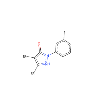 CCc1[nH]n(-c2cccc(C)c2)c(=O)c1CC